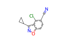 N#Cc1ccc2onc(C3CC3)c2c1Cl